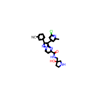 Cc1cc(-c2c(-c3cccc(C#N)c3)nn3ccc(C(=O)NCC4(O)CCNC4)nc23)cc(Cl)n1